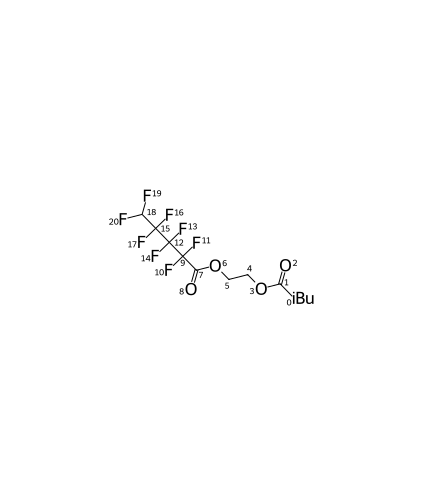 CCC(C)C(=O)OCCOC(=O)C(F)(F)C(F)(F)C(F)(F)C(F)F